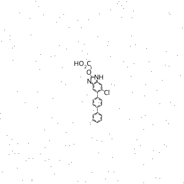 O=C(O)COc1nc2cc(-c3ccc(-c4ccccc4)cc3)c(Cl)cc2[nH]1